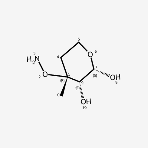 C[C@@]1(ON)CCO[C@H](O)[C@@H]1O